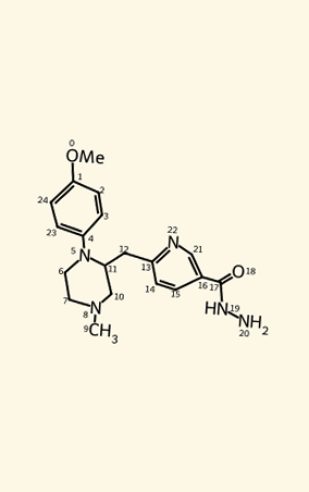 COc1ccc(N2CCN(C)CC2Cc2ccc(C(=O)NN)cn2)cc1